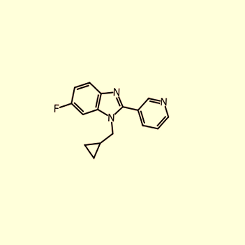 Fc1ccc2nc(-c3cccnc3)n(CC3CC3)c2c1